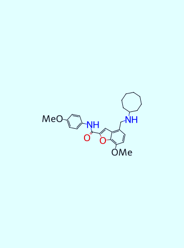 COc1ccc(NC(=O)c2cc3c(CNC4CCCCCCC4)ccc(OC)c3o2)cc1